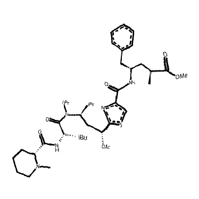 CCCN(C(=O)[C@@H](NC(=O)[C@H]1CCCCN1C)[C@@H](C)CC)[C@H](C[C@@H](OC(C)=O)c1nc(C(=O)N[C@@H](Cc2ccccc2)C[C@H](C)C(=O)OC)cs1)C(C)C